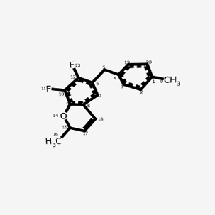 Cc1ccc(Cc2cc3c(c(F)c2F)OC(C)C=C3)cc1